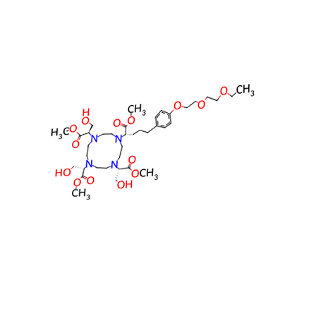 CCOCCOCCOc1ccc(CCC[C@@H](C(=O)OC)N2CCN([C@H](CO)C(=O)OC)CCN([C@@H](CO)C(=O)OC)CCN([C@@H](CO)C(=O)OC)CC2)cc1